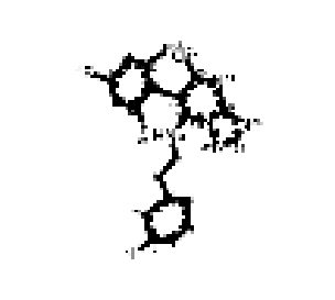 Fc1cccc(CCNc2c(-c3c(F)cc(F)cc3F)c(Cl)nc3ncnn23)c1